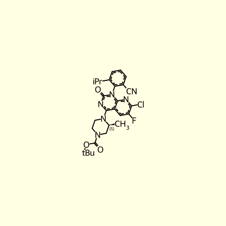 CC(C)c1cccc(C#N)c1-n1c(=O)nc(N2CCN(C(=O)OC(C)(C)C)C[C@@H]2C)c2cc(F)c(Cl)nc21